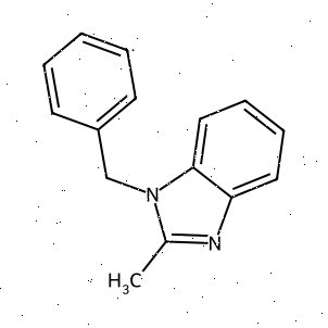 Cc1nc2ccccc2n1Cc1c[c]ccc1